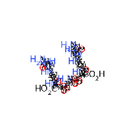 Nc1nc(=O)c2nc(CNc3ccc(C(=O)N[C@@H](CCC(=O)OC(=O)CC[C@H](N)C(=O)OC(=O)CC[C@H](NC(=O)c4ccc(NCc5cnc6[nH]c(N)nc(=O)c6n5)cc4)C(=O)O)C(=O)O)cc3)cnc2[nH]1